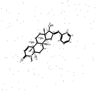 CN1C(=O)C=C[C@]2(C)[C@H]3CC[C@]4(C)[C@@H](O)C(=Cc5ccccn5)C[C@H]4[C@@H]3CC[C@@H]12